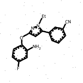 CCn1nc(Oc2ccc(F)cc2N)cc1-c1cccc(C#N)c1